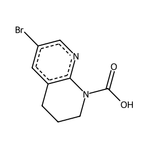 O=C(O)N1CCCc2cc(Br)cnc21